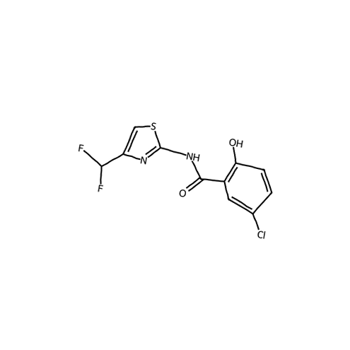 O=C(Nc1nc(C(F)F)cs1)c1cc(Cl)ccc1O